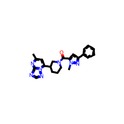 Cc1cc(C2CCCN(C(=O)c3cc(-c4ccccc4)nn3C)C2)n2ncnc2n1